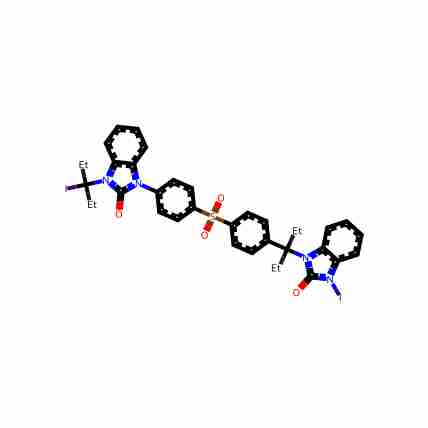 CCC(I)(CC)n1c(=O)n(-c2ccc(S(=O)(=O)c3ccc(C(CC)(CC)n4c(=O)n(I)c5ccccc54)cc3)cc2)c2ccccc21